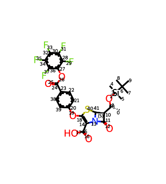 C[C@@H](O[Si](C)(C)C(C)(C)C)[C@H]1C(=O)N2C(C(=O)O)=C(Oc3ccc(C(=O)Oc4c(F)c(F)c(F)c(F)c4F)cc3)SC12